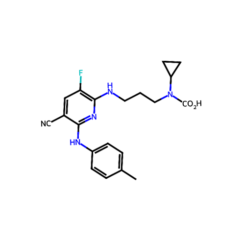 Cc1ccc(Nc2nc(NCCCN(C(=O)O)C3CC3)c(F)cc2C#N)cc1